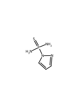 NP(N)(=S)n1cccn1